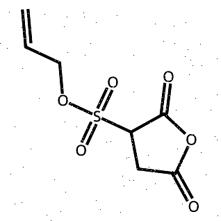 C=CCOS(=O)(=O)C1CC(=O)OC1=O